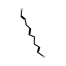 [CH2]CC=CCCC=CCC=CCC